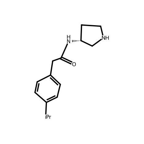 CC(C)c1ccc(CC(=O)N[C@@H]2CCNC2)cc1